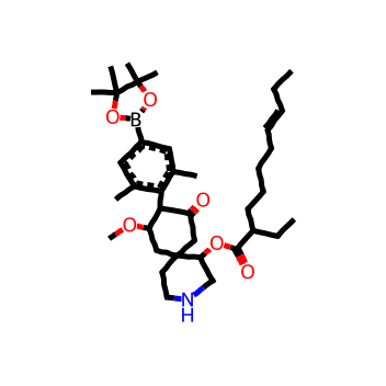 CCC=CCCCCC(CC)C(=O)OC1CNCCC12CC(=O)C(c1c(C)cc(B3OC(C)(C)C(C)(C)O3)cc1C)C(OC)C2